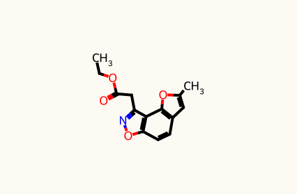 CCOC(=O)Cc1noc2ccc3cc(C)oc3c12